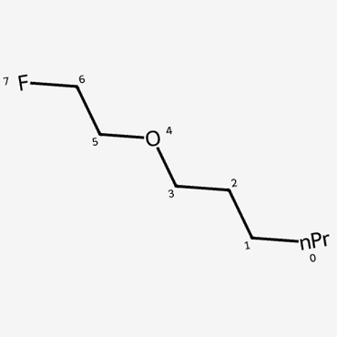 CCCCCCOCCF